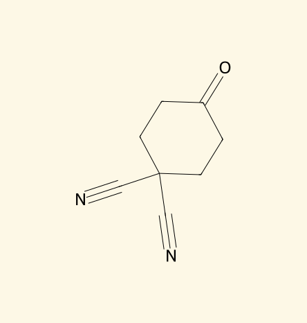 N#CC1(C#N)CCC(=O)CC1